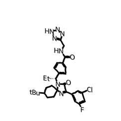 CC[C@H](c1ccc(C(=O)NCc2nn[nH]n2)cc1)N1C(=O)C(c2cc(F)cc(Cl)c2)=NC12CCC(C(C)(C)C)CC2